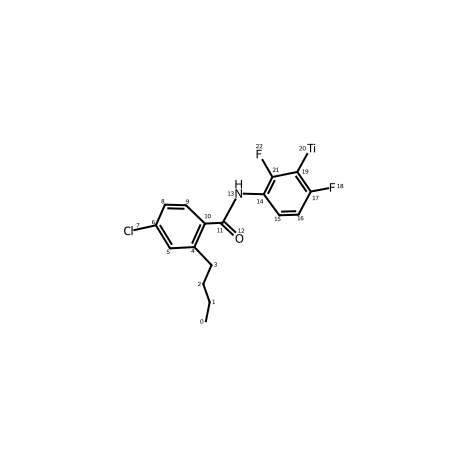 CCCCc1cc(Cl)ccc1C(=O)Nc1ccc(F)[c]([Ti])c1F